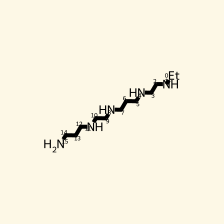 CCNCCNCCCNCCNCCCN